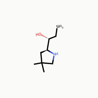 CC1(C)CN[C@H]([C@H](O)C[SiH3])C1